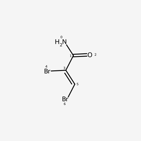 NC(=O)C(Br)=CBr